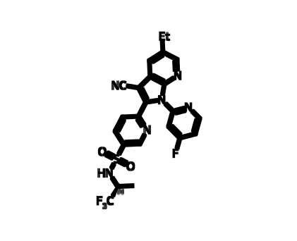 CCc1cnc2c(c1)c(C#N)c(-c1ccc(S(=O)(=O)N[C@@H](C)C(F)(F)F)cn1)n2-c1cc(F)ccn1